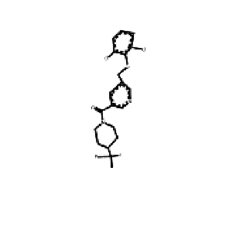 CC(F)(F)C1CCN(C(=O)c2cncc(CSc3c(Cl)cccc3Cl)c2)CC1